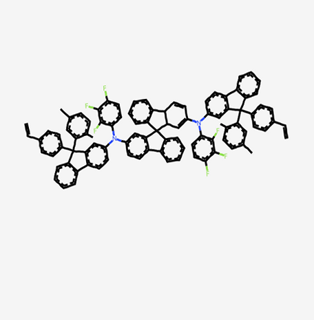 C=Cc1ccc(C2(c3cc(C)ccc3C)c3ccccc3-c3ccc(N(C4=CC5C(C=C4)c4ccccc4C54c5ccccc5-c5ccc(N(c6ccc7c(c6)C(c6ccc(C=C)cc6)(c6cc(C)ccc6C)c6ccccc6-7)c6ccc(F)c(F)c6F)cc54)c4ccc(F)c(F)c4F)cc32)cc1